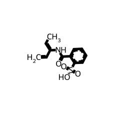 C=C/C(=C/C)NC(=O)c1ccccc1S(=O)(=O)O